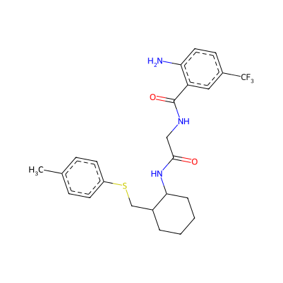 Cc1ccc(SCC2CCCCC2NC(=O)CNC(=O)c2cc(C(F)(F)F)ccc2N)cc1